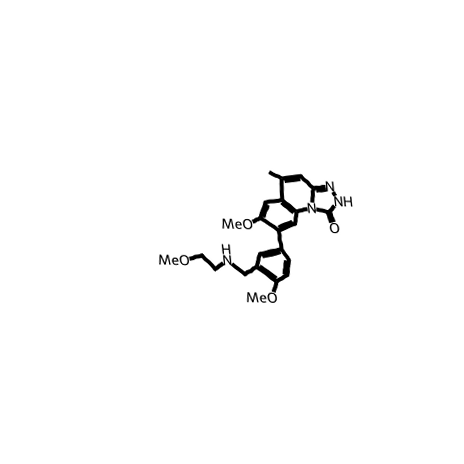 COCCNCc1cc(-c2cc3c(cc2OC)c(C)cc2n[nH]c(=O)n23)ccc1OC